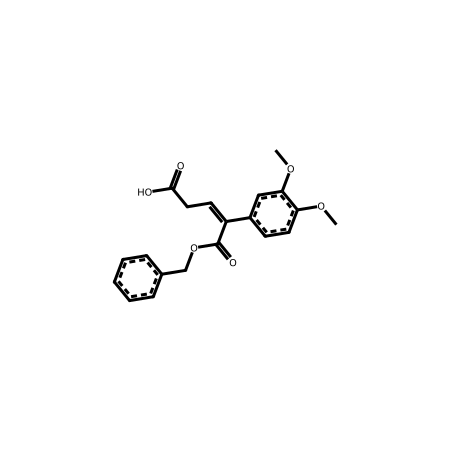 COc1ccc(C(=CCC(=O)O)C(=O)OCc2ccccc2)cc1OC